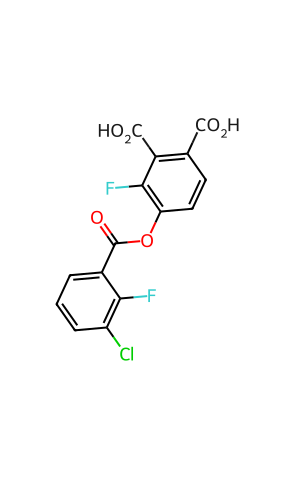 O=C(Oc1ccc(C(=O)O)c(C(=O)O)c1F)c1cccc(Cl)c1F